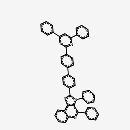 c1ccc(-c2cc(-c3ccccc3)nc(-c3ccc(-c4ccc(-c5nc6c7ccccc7nc(-c7ccccc7)c6n5-c5ccccc5)cc4)cc3)n2)cc1